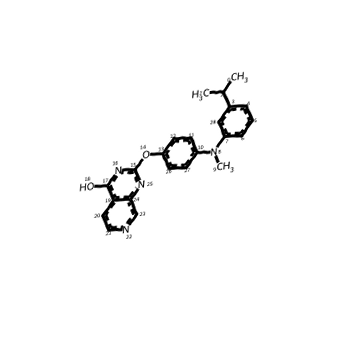 CC(C)c1cccc(N(C)c2ccc(Oc3nc(O)c4ccncc4n3)cc2)c1